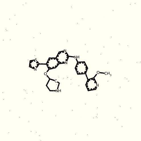 COc1ncccc1-c1ccc(Nc2ncc3cc(-c4nccs4)c(OC4CCNCC4)cc3n2)cc1